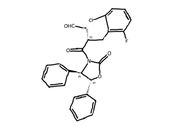 O=CC[C@H](Cc1c(F)cccc1Cl)C(=O)N1C(=O)O[C@H](c2ccccc2)[C@H]1c1ccccc1